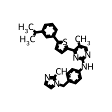 Cc1cnc(Nc2ccc(Cn3ccnc3C)cc2)nc1-c1ccc(-c2cccc(C(C)C)c2)s1